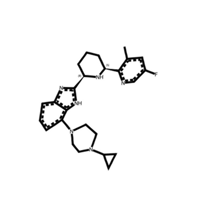 Cc1cc(F)cnc1[C@@H]1CCC[C@H](c2nc3cccc(N4CCN(C5CC5)CC4)c3[nH]2)N1